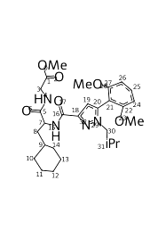 COC(=O)CNC(=O)C(CC1CCCCC1)NC(=O)c1cc(-c2c(OC)cccc2OC)n(CC(C)C)n1